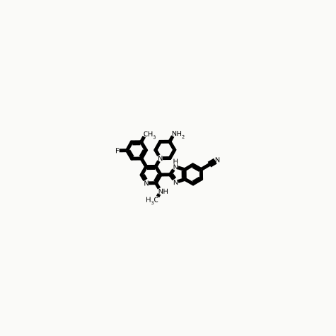 CNc1ncc(-c2cc(C)cc(F)c2)c(N2CCC(N)CC2)c1-c1nc2ccc(C#N)cc2[nH]1